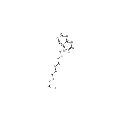 CCCCCCCCCCc1cccc2[c]ccnc12